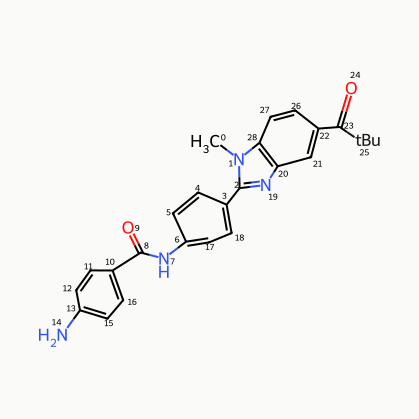 Cn1c(-c2ccc(NC(=O)c3ccc(N)cc3)cc2)nc2cc(C(=O)C(C)(C)C)ccc21